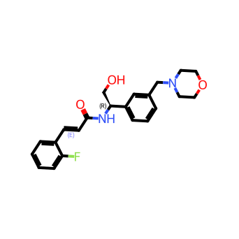 O=C(/C=C/c1ccccc1F)N[C@@H](CO)c1cccc(CN2CCOCC2)c1